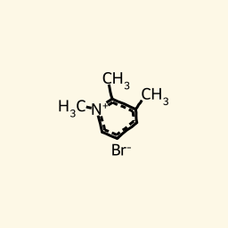 Cc1ccc[n+](C)c1C.[Br-]